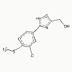 OCc1c[nH]c(-c2ccc(SC(F)(F)F)c(Cl)c2)n1